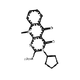 CCCCCc1nc2c(c(=O)c3ccccc3n2C)c(=O)n1C1CCCC1